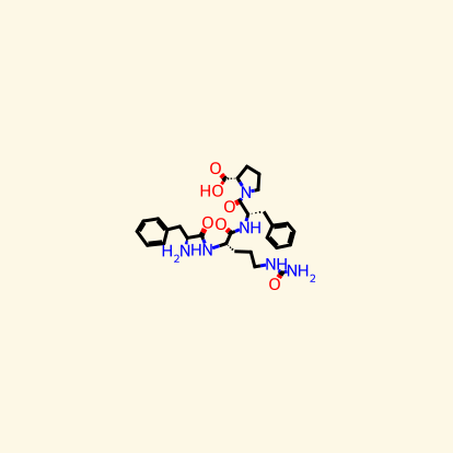 NC(=O)NCCC[C@H](NC(=O)[C@@H](N)Cc1ccccc1)C(=O)N[C@@H](Cc1ccccc1)C(=O)N1CCC[C@H]1C(=O)O